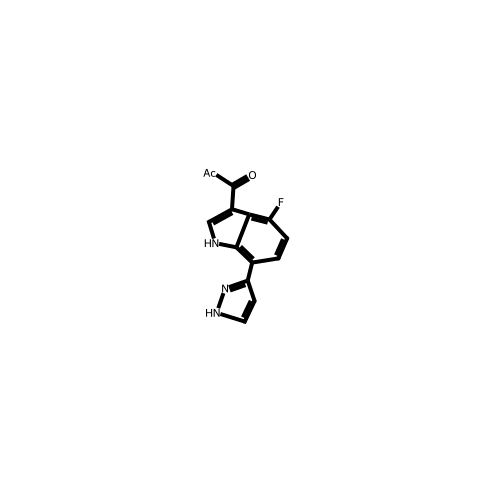 CC(=O)C(=O)c1c[nH]c2c(-c3cc[nH]n3)ccc(F)c12